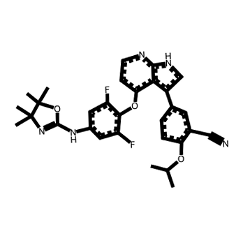 CC(C)Oc1ccc(-c2c[nH]c3nccc(Oc4c(F)cc(NC5=NC(C)(C)C(C)(C)O5)cc4F)c23)cc1C#N